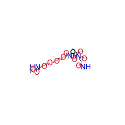 CNC(=O)CCC(C=O)N1C(=O)c2cccc(NC(=O)COCCOCCOCCOCCNC(=O)OC(C)(C)C)c2C1=O